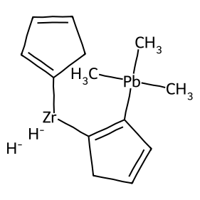 [CH3][Pb]([CH3])([CH3])[C]1=[C]([Zr][C]2=CC=CC2)CC=C1.[H-].[H-]